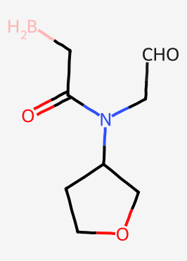 BCC(=O)N(CC=O)C1CCOC1